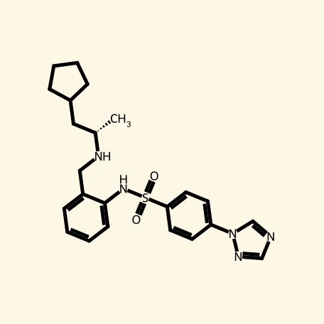 C[C@@H](CC1CCCC1)NCc1ccccc1NS(=O)(=O)c1ccc(-n2cncn2)cc1